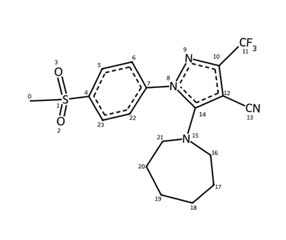 CS(=O)(=O)c1ccc(-n2nc(C(F)(F)F)c(C#N)c2N2CCCCCC2)cc1